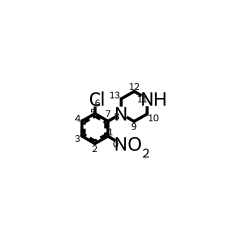 O=[N+]([O-])c1cccc(Cl)c1N1CCNCC1